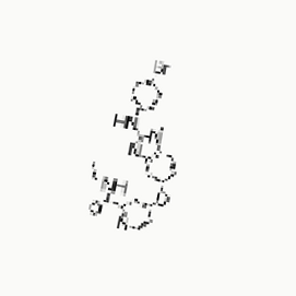 CCNC(=O)c1cc(Oc2ccc3c(c2)nc(Nc2ccc(Br)cc2)n3C)ccn1